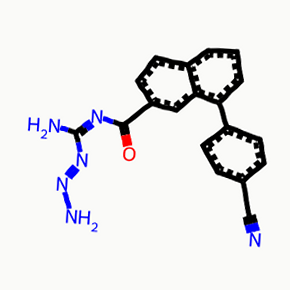 N#Cc1ccc(-c2cccc3ccc(C(=O)/N=C(/N)N=NN)cc23)cc1